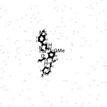 C=CC(=O)Nc1cc(Nc2cc(-c3ccc4ncsc4c3)ncn2)c(OC)cc1N(C)CCN1CCN(C)CC1